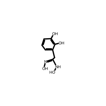 ON=C(Cc1cccc(O)c1O)NO